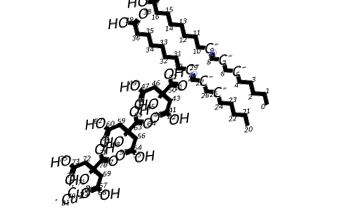 CCCCC[CH-]C[CH-]/C=[C-]/CCCCCCCC(=O)O.CCCCC[CH-]C[CH-]/C=[C-]/CCCCCCCC(=O)O.O=C(O)CC(O)(CC(=O)O)C(=O)O.O=C(O)CC(O)(CC(=O)O)C(=O)O.O=C(O)CC(O)(CC(=O)O)C(=O)O.[Cu+2].[Cu+2].[Cu+2]